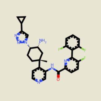 C[C@@]1(c2ccncc2NC(=O)c2ccc(F)c(-c3c(F)cccc3F)n2)CC[C@H](n2cc(C3CC3)nn2)[C@H](N)C1